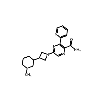 CN1CCCC(C2CN(c3cnc(C(N)=O)c(-c4ccccn4)n3)C2)C1